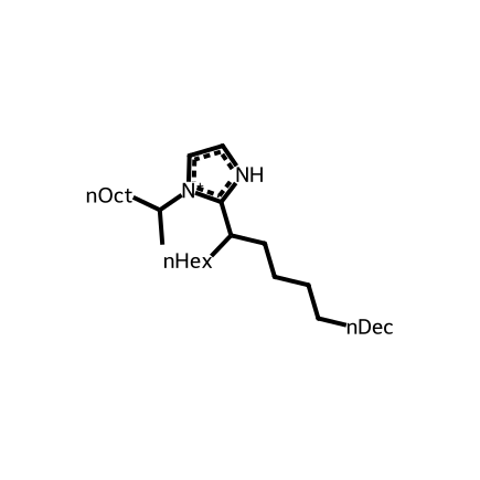 CCCCCCCCCCCCCCC(CCCCCC)c1[nH]cc[n+]1C(C)CCCCCCCC